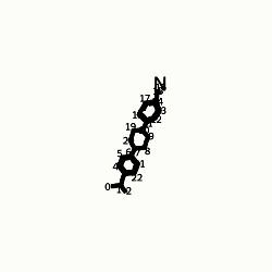 CC(C)c1ccc(C2CCC(c3ccc(C#N)cc3)CC2)cc1